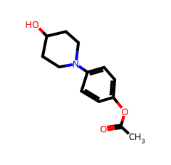 CC(=O)Oc1ccc(N2CCC(O)CC2)cc1